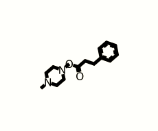 CN1CCN(OC(=O)CCc2ccccc2)CC1